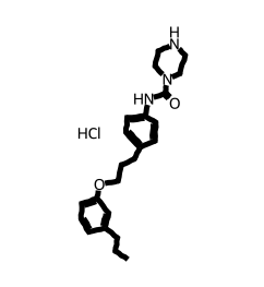 CCCc1cccc(OCCCc2ccc(NC(=O)N3CCNCC3)cc2)c1.Cl